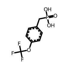 O=P(O)(O)Cc1ccc(OC(F)(F)F)cc1